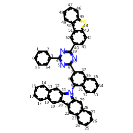 c1ccc(-c2nc(-c3cc(-n4c5cc6ccccc6cc5c5cc6ccccc6cc54)c4ccccc4c3)nc(-c3ccc4sc5ccccc5c4c3)n2)cc1